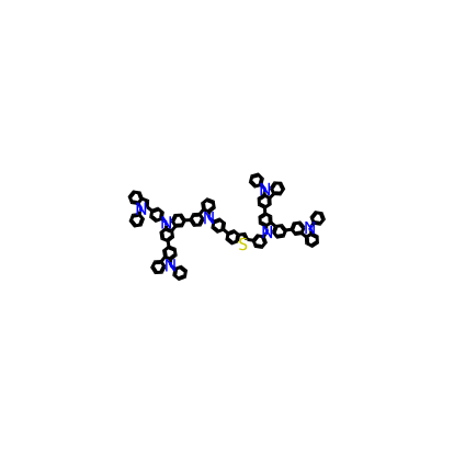 c1ccc(-n2c(-c3ccc(-n4c5ccc(-c6ccc7c(c6)c6ccccc6n7-c6ccccc6)cc5c5cc(-c6ccc7c(c6)c6ccccc6n7-c6ccc(-c7ccc8sc(-c9cccc(-n%10c%11ccc(-c%12ccc%13c(c%12)c%12ccccc%12n%13-c%12ccccc%12)cc%11c%11cc(-c%12ccc%13c(c%12)c%12ccccc%12n%13-c%12ccccc%12)ccc%11%10)c9)cc8c7)cc6)ccc54)cc3)cc3ccccc32)cc1